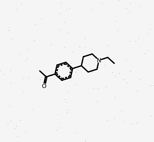 CCN1CCC(c2ccc(C(C)=O)cc2)CC1